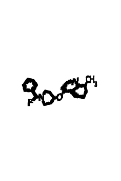 Cc1cccc2c(OC3CCN(C(F)c4ccccc4)CC3)ccnc12